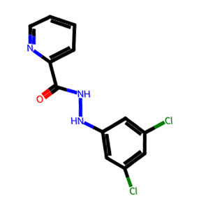 O=C(NNc1cc(Cl)cc(Cl)c1)c1ccccn1